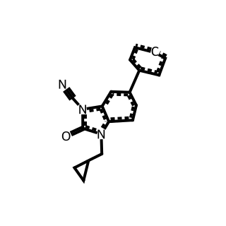 N#Cn1c(=O)n(CC2CC2)c2ccc(-c3ccccc3)cc21